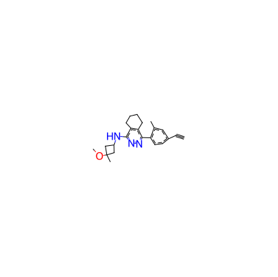 C#Cc1ccc(-c2nnc(NC3CC(C)(OC)C3)c3c2CCCC3)c(C)c1